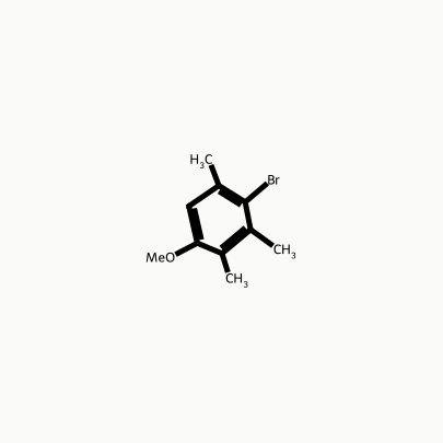 COc1cc(C)c(Br)c(C)c1C